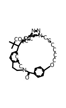 CC(C)(C(=O)O)C1c2ccc3c(c2)CN(CC3)C(=O)c2ccc(cc2)OCCCCCCn2nnc3cc1ccc32